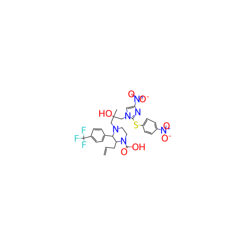 C=CCC1C(c2ccc(C(F)(F)F)cc2)N(CC(C)(O)Cn2cc([N+](=O)[O-])nc2Sc2ccc([N+](=O)[O-])cc2)CCN1C(=O)O